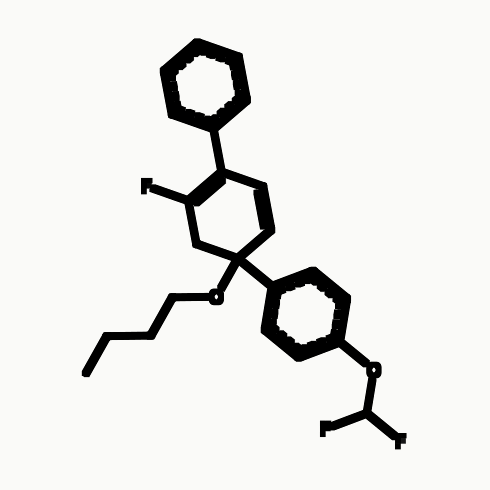 CCCCOC1(c2ccc(OC(F)F)cc2)C=CC(c2ccccc2)=C(F)C1